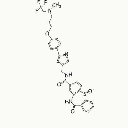 CN(CCCOc1ccc(-c2ncc(CNC(=O)c3ccc4c(c3)NC(=O)c3ccccc3[S+]4[O-])s2)cc1)CC(F)(F)F